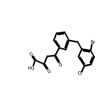 O=C(O)C(=O)CC(=O)c1cccc(Cc2cc(Cl)ccc2Br)c1